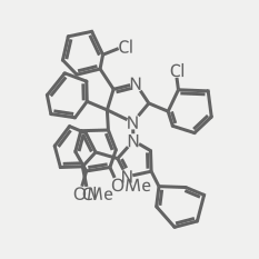 COc1ccc(C2(c3ccccc3)C(c3ccccc3Cl)=NC(c3ccccc3Cl)N2n2cc(-c3ccccc3)nc2-c2ccccc2Cl)cc1OC